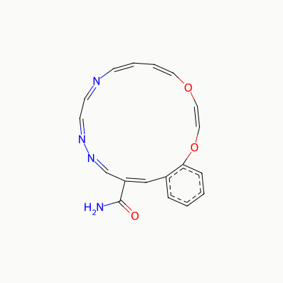 NC(=O)C1=Cc2ccccc2OC=COC=CC=CN=CC=NN=C1